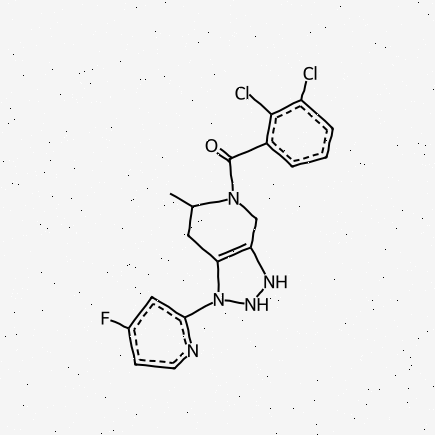 CC1CC2=C(CN1C(=O)c1cccc(Cl)c1Cl)NNN2c1cc(F)ccn1